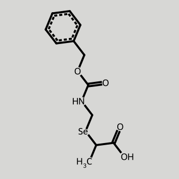 CC([Se]CNC(=O)OCc1ccccc1)C(=O)O